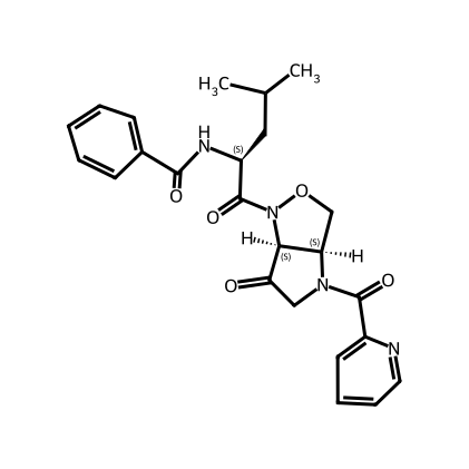 CC(C)C[C@H](NC(=O)c1ccccc1)C(=O)N1OC[C@@H]2[C@H]1C(=O)CN2C(=O)c1ccccn1